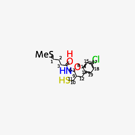 CSCCCC(O)NC(=O)C(CS)Cc1ccc(Cl)cc1